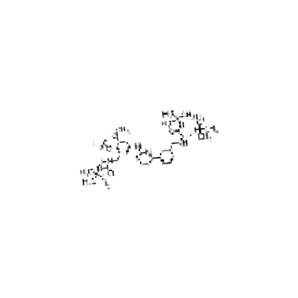 COc1cc(Nc2nccc(-c3cccc(CNC(COC(C)(C)C)C(=O)OC(C)(C)C)c3)n2)cc(CNC(=O)OC(C)(C)C)c1OC